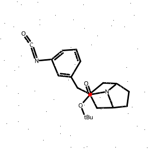 CC(C)(C)OC(=O)N1C2CCC1CC(Cc1cccc(N=C=O)c1)C2